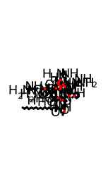 CCCCCCCCCCCCCCCC(=O)N[C@@H](CC(C)C)C(=O)N[C@@H](C)C(=O)N[C@@H](Cc1ccc(O)cc1)C(=O)N[C@@H](Cc1ccccc1)C(=O)N[C@@H](CCCNC(=N)N)C(=O)N[C@@H](CCCNC(=N)N)C(=O)N[C@@H](CC(C)C)C(=O)N[C@@H](Cc1c[nH]cn1)C(=O)N[C@@H](CO)C(=O)N[C@H](C(=O)N[C@@H](CCCNC(=N)N)C(N)=O)[C@@H](C)O